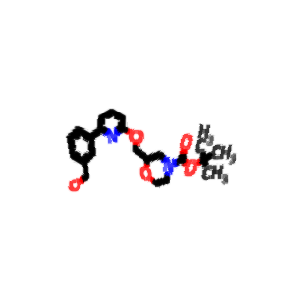 CC(C)(C)OC(=O)N1CCOC(COc2cccc(-c3cccc(C=O)c3)n2)C1